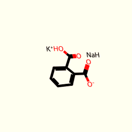 O=C([O-])c1ccccc1C(=O)O.[K+].[NaH]